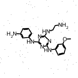 COc1cccc(Nc2nc(NCCN)nc(Nc3cccc(N)c3)n2)c1